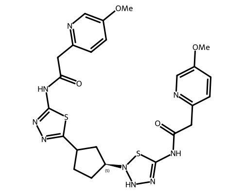 COc1ccc(CC(=O)NC2=NNN([C@H]3CCC(c4nnc(NC(=O)Cc5ccc(OC)cn5)s4)C3)S2)nc1